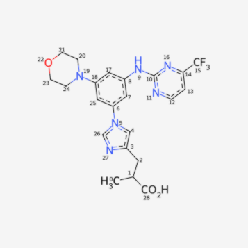 CC(Cc1cn(-c2cc(Nc3nccc(C(F)(F)F)n3)cc(N3CCOCC3)c2)cn1)C(=O)O